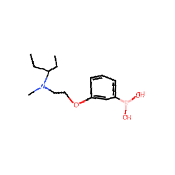 CCC(CC)N(C)CCOc1cccc(B(O)O)c1